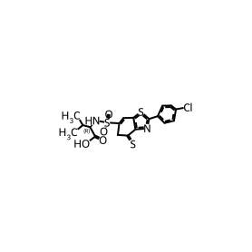 CC(C)[C@@H](NS(=O)(=O)C1=Cc2sc(-c3ccc(Cl)cc3)nc2C(=S)C1)C(=O)O